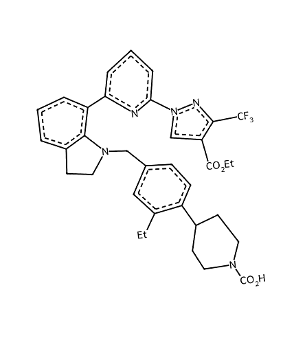 CCOC(=O)c1cn(-c2cccc(-c3cccc4c3N(Cc3ccc(C5CCN(C(=O)O)CC5)c(CC)c3)CC4)n2)nc1C(F)(F)F